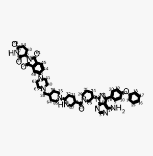 Nc1ncnc2c1c(-c1ccc(Oc3ccccc3)cc1)nn2[C@@H]1CCCN(C(=O)C2CCC(N3CCC(CN4CCN(c5ccc6c(c5)C(=O)N(C5CCC(=O)NC5=O)C6=O)CC4)CC3)NC2)C1